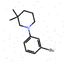 CCC(C)c1cccc(N2CCCC(C)(C)C2)c1